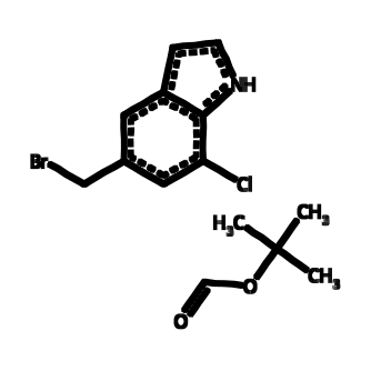 CC(C)(C)OC=O.Clc1cc(CBr)cc2cc[nH]c12